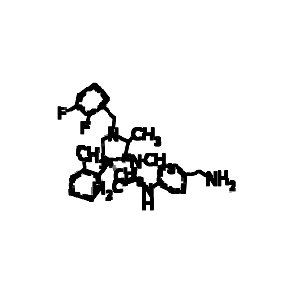 C=C(Nc1ccc(CN)cc1)N(C)[C@H]1C(C)N(Cc2cccc(F)c2F)CC[C@]1(C)c1ccccc1C